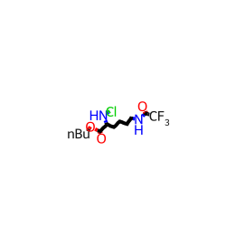 CCCCOC(=O)C(CCCCNC(=O)C(F)(F)F)NCl